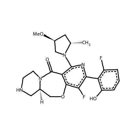 CO[C@H]1C[C@H](C)N(c2nc(-c3c(O)cccc3F)c(F)c3c2C(=O)N2CCNC[C@@H]2CO3)C1